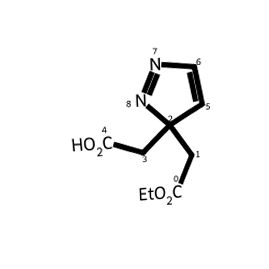 CCOC(=O)CC1(CC(=O)O)C=CN=N1